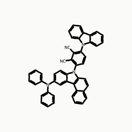 N#Cc1c(-n2c3ccccc3c3ccccc32)ccc(-n2c3ccc(N(c4ccccc4)c4ccccc4)cc3c3c4ccccc4ccc32)c1C#N